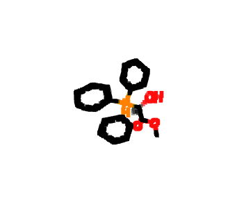 COC(=O)[C@@H](O)[PH](c1ccccc1)(c1ccccc1)c1ccccc1